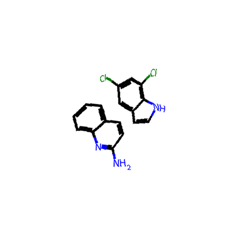 Clc1cc(Cl)c2[nH]ccc2c1.Nc1ccc2ccccc2n1